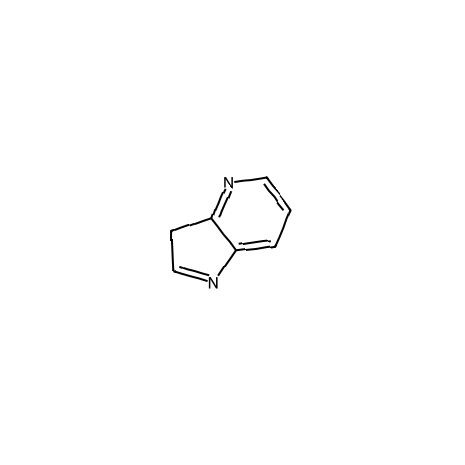 C1=Nc2cccnc2C1